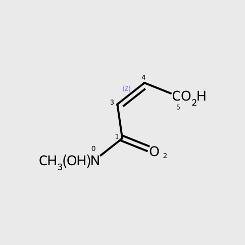 CN(O)C(=O)/C=C\C(=O)O